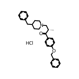 C[C@@H](CN1CCC(Cc2ccccc2)CC1)C(=O)c1ccc(OCc2ccccc2)cc1.Cl